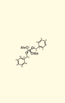 C[O][Hf]([O]C)([O]Cc1ccccc1)[O]Cc1ccccc1